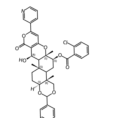 C[C@]12CC[C@@H]3OC(c4ccccc4)OC[C@@]3(C)C1C[C@H](OC(=O)c1ccccc1Cl)[C@@]1(C)Oc3cc(-c4cccnc4)oc(=O)c3[C@H](O)C21